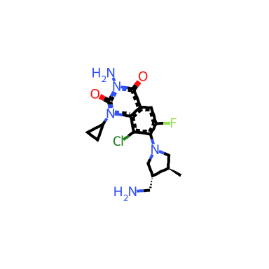 C[C@@H]1CN(c2c(F)cc3c(=O)n(N)c(=O)n(C4CC4)c3c2Cl)C[C@H]1CN